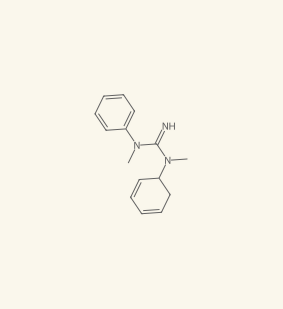 CN(C(=N)N(C)C1C=CC=CC1)c1ccccc1